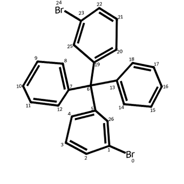 Brc1cccc(C(c2ccccc2)(c2ccccc2)c2cccc(Br)c2)c1